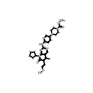 CCOC=Cc1c(C)c2cnc(Nc3ccc(N4CCN(C(=O)OC(C)(C)C)CC4)cn3)nc2n(C2CCCC2)c1=O